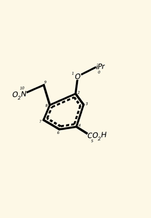 CC(C)Oc1cc(C(=O)O)ccc1C[N+](=O)[O-]